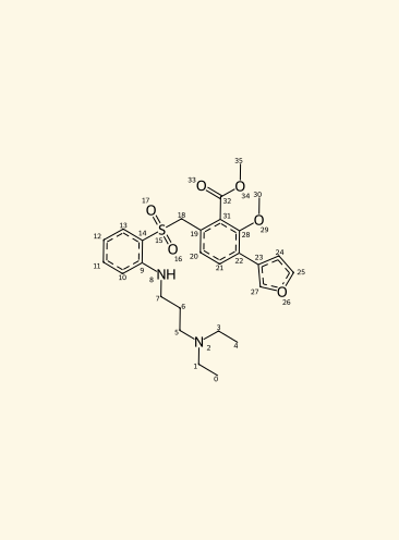 CCN(CC)CCCNc1ccccc1S(=O)(=O)Cc1ccc(-c2ccoc2)c(OC)c1C(=O)OC